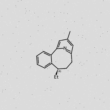 CC[C@@H]1CCc2cc(C)cc(n2)-c2ccccc21